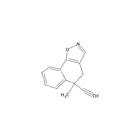 C#CC1(C)Cc2cnoc2-c2ccccc21